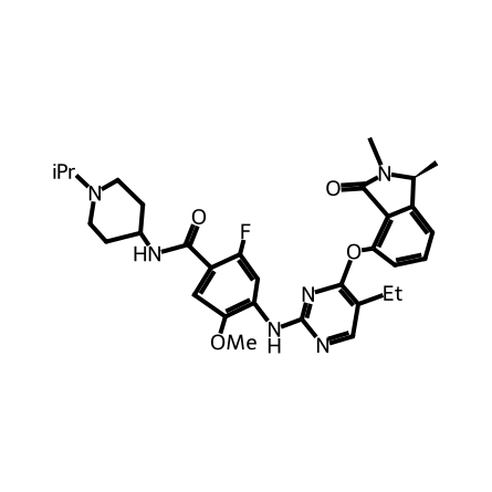 CCc1cnc(Nc2cc(F)c(C(=O)NC3CCN(C(C)C)CC3)cc2OC)nc1Oc1cccc2c1C(=O)N(C)[C@H]2C